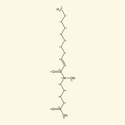 CCCCCCCCC=CC(=O)N(O)CCCCC(=O)O